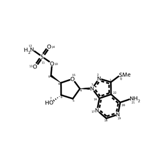 CSc1nn([C@H]2C[C@H](O)[C@@H](COS(N)(=O)=O)O2)c2ncnc(N)c12